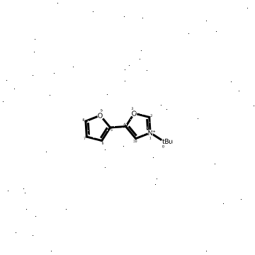 CC(C)(C)[n+]1coc(-c2ccco2)c1